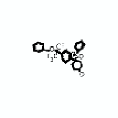 O=C1CCC(c2ccc(C(OCc3ccccc3)(C(F)(F)F)C(F)(F)F)cc2)(S(=O)(=O)c2ccccc2)CC1